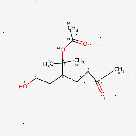 CC(=O)CCC(CCO)C(C)(C)OC(C)=O